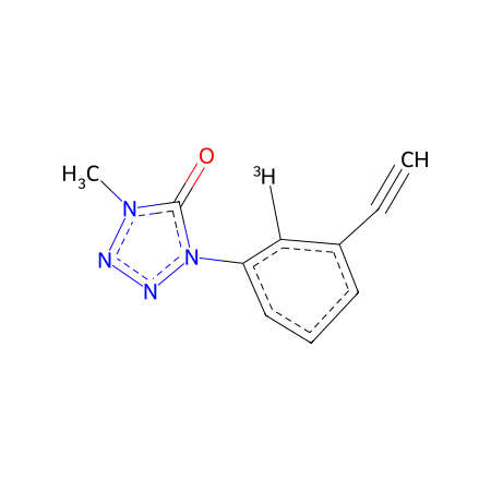 [3H]c1c(C#C)cccc1-n1nnn(C)c1=O